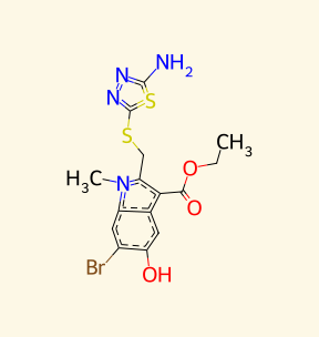 CCOC(=O)c1c(CSc2nnc(N)s2)n(C)c2cc(Br)c(O)cc12